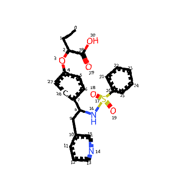 CCC(Oc1ccc(C(Cc2cccnc2)NS(=O)(=O)c2ccccc2)cc1)C(=O)O